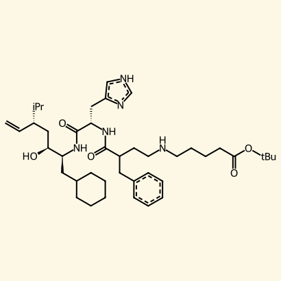 C=C[C@@H](C[C@H](O)[C@H](CC1CCCCC1)NC(=O)[C@H](Cc1c[nH]cn1)NC(=O)C(CCNCCCCC(=O)OC(C)(C)C)Cc1ccccc1)C(C)C